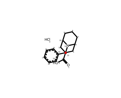 Cl.O=C(O)C1CC2CCCC(C1)N2Cc1ccccc1